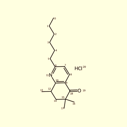 CCCCCCc1ccc2c(n1)C(C)CC(C)(C)C2=O.Cl